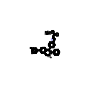 COC(=O)/C=C/c1ccc([C@@H]2c3ccc(-c4cnn(C)c4)cc3C[C@@H](C)N2c2ccccc2)cc1